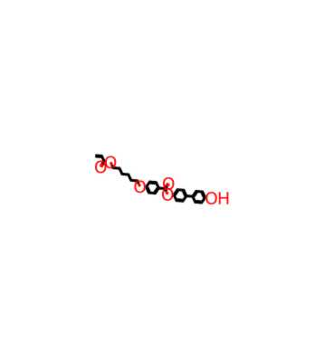 C=CC(=O)OCCCCCCOc1ccc(C(=O)Oc2ccc(-c3ccc(O)cc3)cc2)cc1